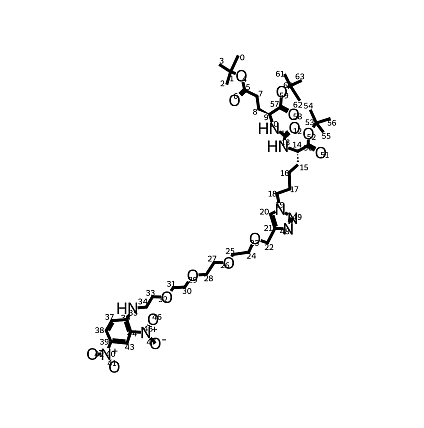 CC(C)(C)OC(=O)CC[C@H](NC(=O)N[C@@H](CCCCn1cc(COCCOCCOCCOCCNc2ccc([N+](=O)[O-])cc2[N+](=O)[O-])nn1)C(=O)OC(C)(C)C)C(=O)OC(C)(C)C